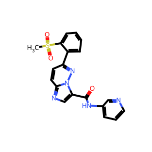 CS(=O)(=O)c1ccccc1-c1ccc2ncc(C(=O)Nc3cccnc3)n2n1